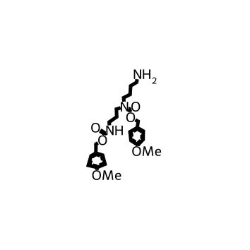 COc1ccc(COC(=O)NCCCN(CCCCN)C(=O)OCc2ccc(OC)cc2)cc1